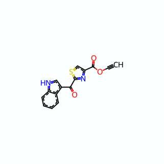 C#COC(=O)c1csc(C(=O)c2c[nH]c3ccccc23)n1